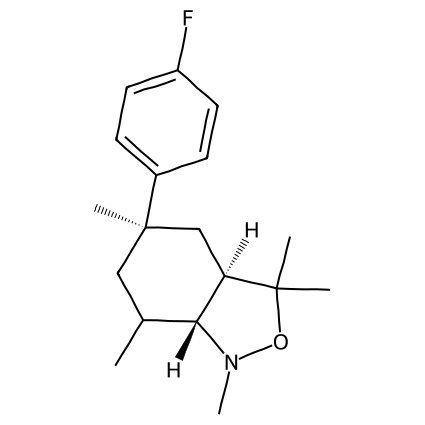 CC1C[C@@](C)(c2ccc(F)cc2)C[C@@H]2[C@@H]1N(C)OC2(C)C